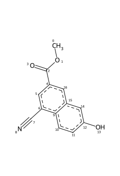 COC(=O)c1cc(C#N)c2ccc(O)cc2c1